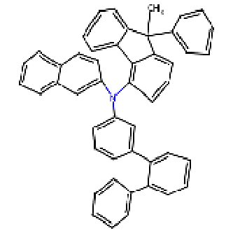 CC1(c2ccccc2)c2ccccc2-c2c(N(c3cccc(-c4ccccc4-c4ccccc4)c3)c3ccc4ccccc4c3)cccc21